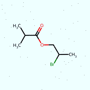 CC(Br)COC(=O)C(C)C